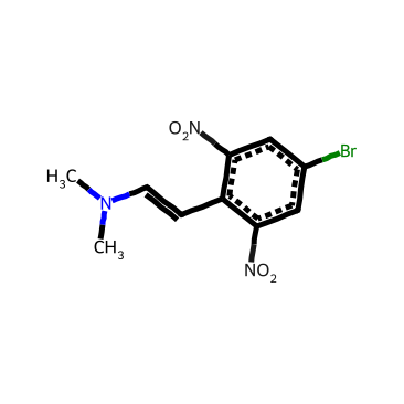 CN(C)C=Cc1c([N+](=O)[O-])cc(Br)cc1[N+](=O)[O-]